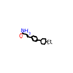 CCC1CCC(c2ccc(C=CC(N)=O)cc2)CC1